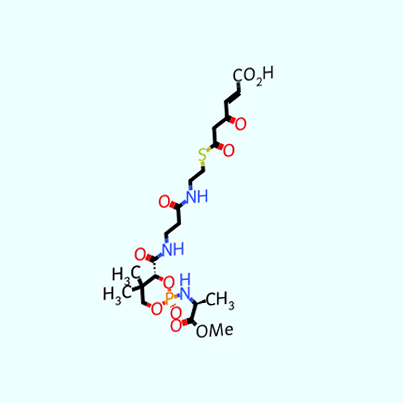 COC(=O)[C@H](C)NP1(=O)OCC(C)(C)[C@H](C(=O)NCCC(=O)NCCSC(=O)CC(=O)/C=C/C(=O)O)O1